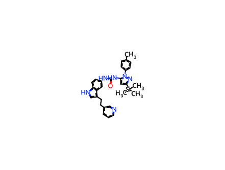 Cc1ccc(-n2nc([Si](C)(C)C)cc2NC(=O)Nc2ccc3[nH]cc(CCc4cccnc4)c3c2)cc1